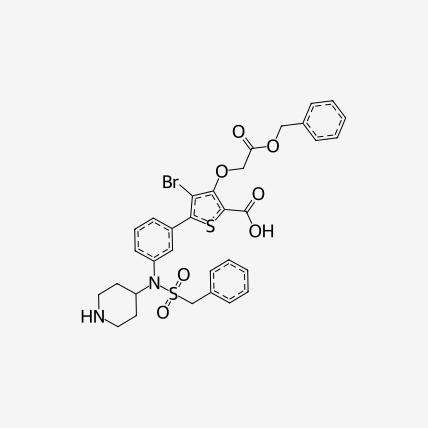 O=C(COc1c(C(=O)O)sc(-c2cccc(N(C3CCNCC3)S(=O)(=O)Cc3ccccc3)c2)c1Br)OCc1ccccc1